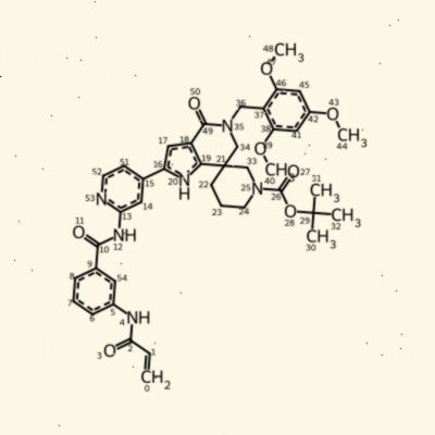 C=CC(=O)Nc1cccc(C(=O)Nc2cc(-c3cc4c([nH]3)C3(CCCN(C(=O)OC(C)(C)C)C3)CN(Cc3c(OC)cc(OC)cc3OC)C4=O)ccn2)c1